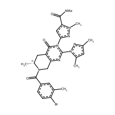 CNC(=O)c1cc(-n2c(-n3nc(C)cc3C)nc3c(c2=O)C[C@@H](C)N(C(=O)c2ccc(Br)c(C)c2)C3)nn1C